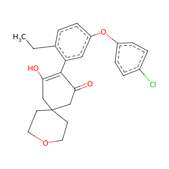 CCc1ccc(Oc2ccc(Cl)cc2)cc1C1=C(O)CC2(CCOCC2)CC1=O